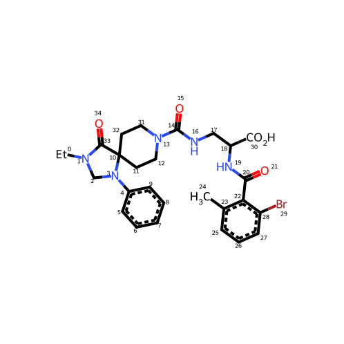 CCN1CN(c2ccccc2)C2(CCN(C(=O)NCC(NC(=O)c3c(C)cccc3Br)C(=O)O)CC2)C1=O